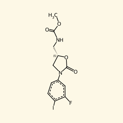 COC(=O)NC[C@H]1CN(c2ccc(I)c(F)c2)C(=O)O1